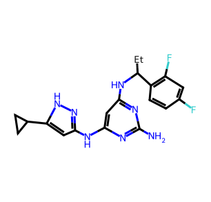 CCC(Nc1cc(Nc2cc(C3CC3)[nH]n2)nc(N)n1)c1ccc(F)cc1F